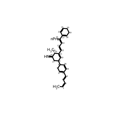 C/C=C\C=C\C1=CCC(C2C=C(/C=C/C=C(\CCC)C3=CCCC=C3)[C@@H](C)C(=N)C2)C=C1